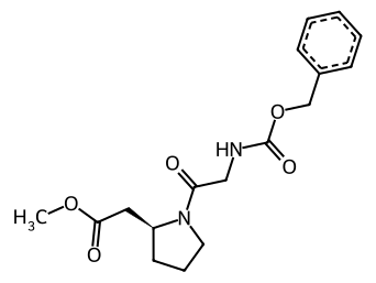 COC(=O)C[C@@H]1CCCN1C(=O)CNC(=O)OCc1ccccc1